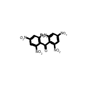 O=C(c1c([N+](=O)[O-])cc([N+](=O)[O-])cc1[N+](=O)[O-])c1c([N+](=O)[O-])cc([N+](=O)[O-])cc1[N+](=O)[O-]